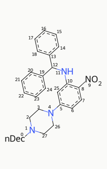 CCCCCCCCCCN1CCN(c2ccc([N+](=O)[O-])c(NC(c3ccccc3)c3ccccc3)c2)CC1